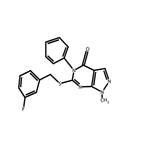 Cn1ncc2c(=O)n(-c3ccccc3)c(SCc3cccc(F)c3)nc21